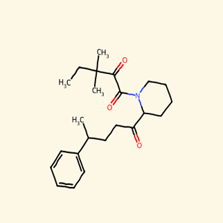 CCC(C)(C)C(=O)C(=O)N1CCCCC1C(=O)CCC(C)c1ccccc1